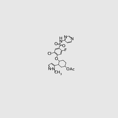 CC(=O)OC1CCC(Oc2cc(F)c(S(=O)(=O)Nc3ccncn3)cc2Cl)C(c2ccnn2C)C1